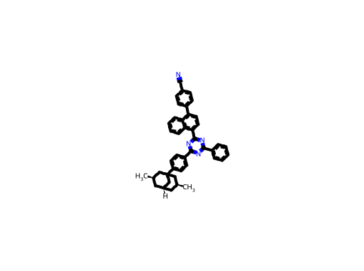 C[C@@H]1C[C@@H]2C[C@H](C)CC(c3ccc(-c4nc(-c5ccccc5)nc(-c5ccc(-c6ccc(C#N)cc6)c6ccccc56)n4)cc3)(C1)C2